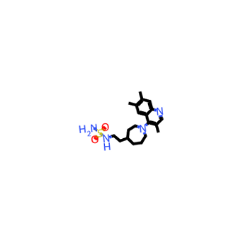 Cc1cc2ncc(C)c(N3CCCC(CCNS(N)(=O)=O)CC3)c2cc1C